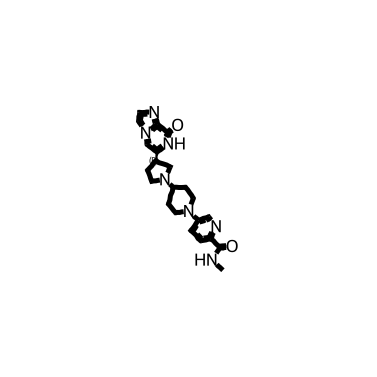 CNC(=O)c1ccc(N2CCC(N3CC[C@@H](c4cn5ccnc5c(=O)[nH]4)C3)CC2)cn1